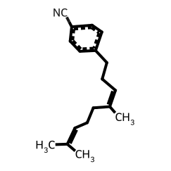 CC(C)=CCCC(C)=CCCc1ccc(C#N)cc1